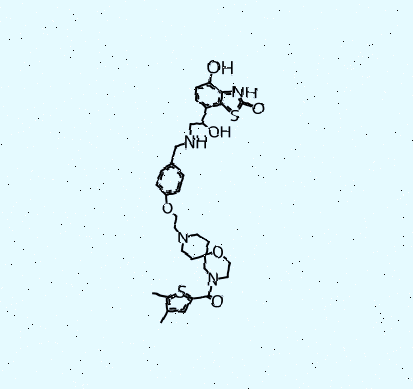 Cc1cc(C(=O)N2CCOC3(CCN(CCOc4ccc(CNCC(O)c5ccc(O)c6[nH]c(=O)sc56)cc4)CC3)C2)sc1C